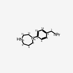 CC(C)Cc1ccc(N2CCCNCC2)cc1